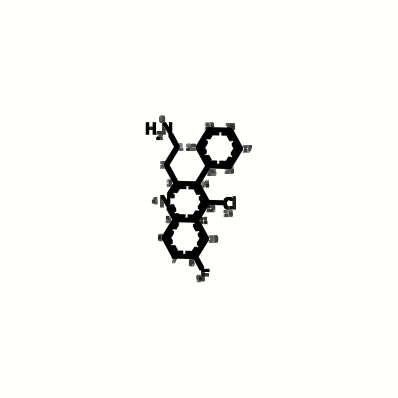 NCCc1nc2ccc(F)cc2c(Cl)c1-c1ccccc1